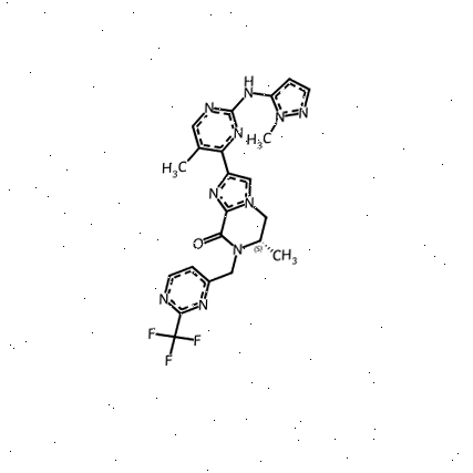 Cc1cnc(Nc2ccnn2C)nc1-c1cn2c(n1)C(=O)N(Cc1ccnc(C(F)(F)F)n1)[C@@H](C)C2